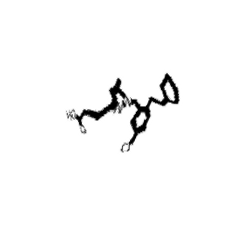 Cc1cc(CCC(=O)O)nn1Cc1cc(Cl)ccc1CCC1CCCC1